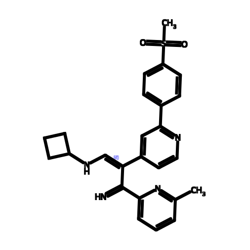 Cc1cccc(C(=N)/C(=C\NC2CCC2)c2ccnc(-c3ccc(S(C)(=O)=O)cc3)c2)n1